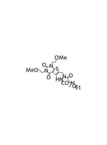 CCOC=CC(=O)N(Cc1sc2c(c1C)c(=O)n(CCOC)c(=O)n2CCOC)NC(=O)O